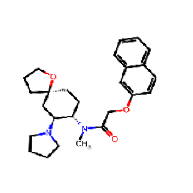 CN(C(=O)COc1ccc2ccccc2c1)[C@H]1CC[C@@]2(CCCO2)C[C@@H]1N1CCCC1